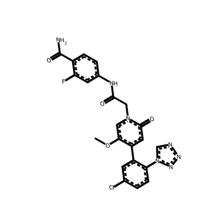 COc1cn(CC(=O)Nc2ccc(C(N)=O)c(F)c2)c(=O)cc1-c1cc(Cl)ccc1-n1cnnn1